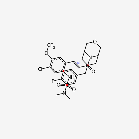 CN(C)S(=O)(=O)Nc1cc(Cl)c(OC(F)(F)F)cc1/C=C/C(=O)N1C2COCC1CN(Cc1ccc(F)cc1)C2